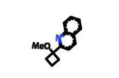 COC1(c2ccc3ccccc3n2)CCC1